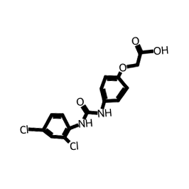 O=C(O)COc1ccc(NC(=O)Nc2ccc(Cl)cc2Cl)cc1